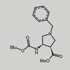 COC(=O)[C@@H]1CN(Cc2ccccc2)C[C@@H]1NC(=O)OC(C)(C)C